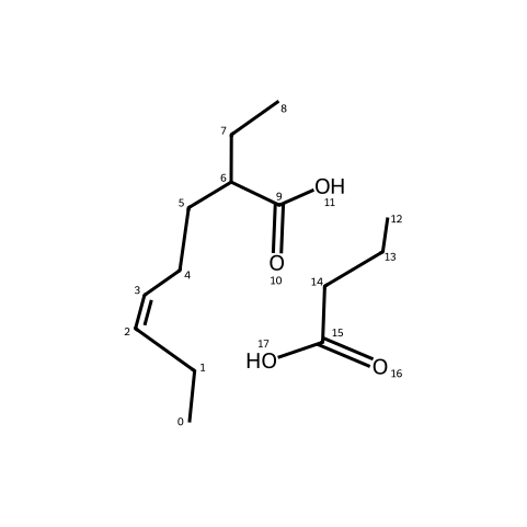 CC/C=C\CCC(CC)C(=O)O.CCCC(=O)O